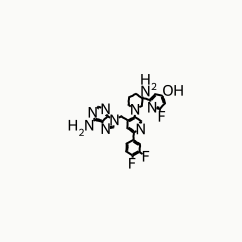 Nc1ncnc2c1ncn2Cc1cc(-c2ccc(F)c(F)c2)ncc1N1CCC[C@](N)(c2cc(O)cc(F)n2)C1